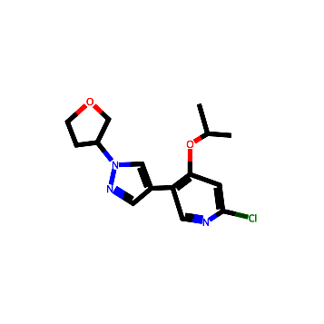 CC(C)Oc1cc(Cl)ncc1-c1cnn(C2CCOC2)c1